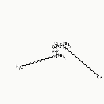 CCCCCCCCCCCCCCCCCCN=C(N)NOC(=O)C(=O)ONC(N)=NCCCCCCCCCCCCCCCCCC